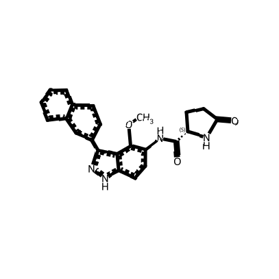 COc1c(NC(=O)[C@@H]2CCC(=O)N2)ccc2[nH]nc(-c3ccc4ccccc4c3)c12